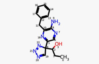 CCC(O)C1(c2cnc(N)c(Cc3ccccc3)n2)C=NN=N1